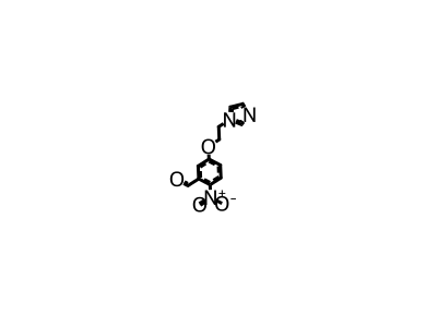 O=Cc1cc(OCCn2ccnc2)ccc1[N+](=O)[O-]